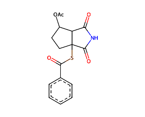 CC(=O)OC1CCC2(SC(=O)c3ccccc3)C(=O)NC(=O)C12